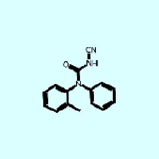 Cc1ccccc1N(C(=O)NC#N)c1ccccc1